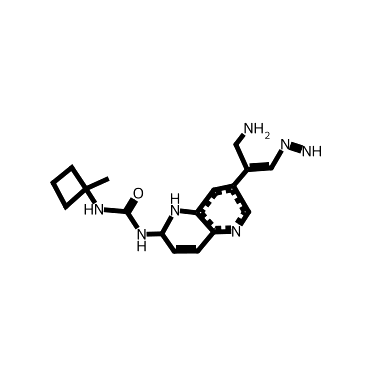 CC1(NC(=O)NC2C=Cc3ncc(/C(=C/N=N)CN)cc3N2)CCC1